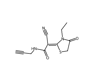 C#CCNC(=O)C(C#N)=C1SCC(=O)N1CC